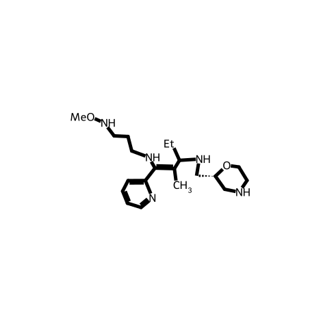 CCC(NC[C@H]1CNCCO1)/C(C)=C(\NCCCNOC)c1ccccn1